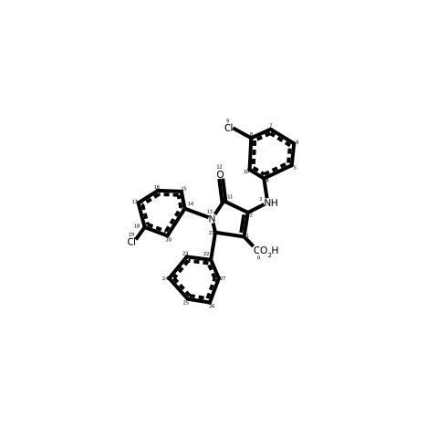 O=C(O)C1=C(Nc2cccc(Cl)c2)C(=O)N(c2cccc(Cl)c2)C1c1ccccc1